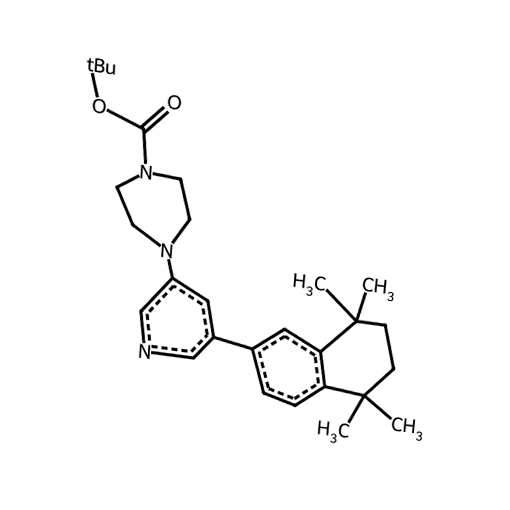 CC(C)(C)OC(=O)N1CCN(c2cncc(-c3ccc4c(c3)C(C)(C)CCC4(C)C)c2)CC1